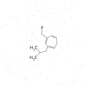 CC(C)CC1=CCC=CC(CF)=C1